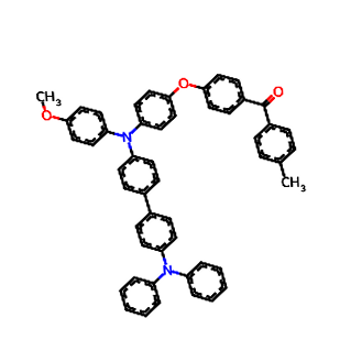 COc1ccc(N(c2ccc(Oc3ccc(C(=O)c4ccc(C)cc4)cc3)cc2)c2ccc(-c3ccc(N(c4ccccc4)c4ccccc4)cc3)cc2)cc1